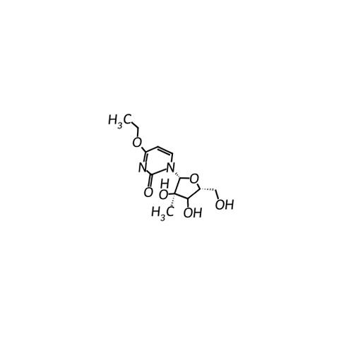 CCOc1ccn([C@@H]2O[C@H](CO)C(O)[C@@]2(C)O)c(=O)n1